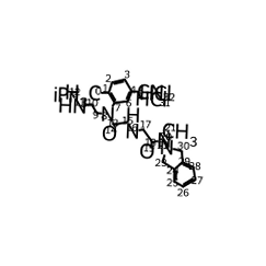 Cc1ccc(C#N)cc1N(CCNC(C)C)C(=O)CNCC(=O)N(C)N1Cc2ccccc2C1.Cl.Cl